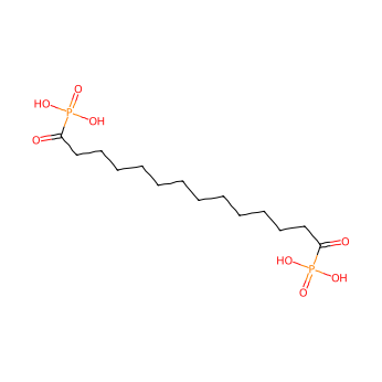 O=C(CCCCCCCCCCCCC(=O)P(=O)(O)O)P(=O)(O)O